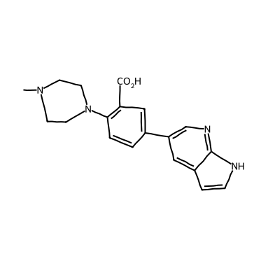 CN1CCN(c2ccc(-c3cnc4[nH]ccc4c3)cc2C(=O)O)CC1